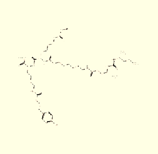 CC(C)(C)OC(=O)NCCCC[C@H](NC(=O)CCCCCCCNC(=O)CC[C@H](NC(=O)N[C@@H](CCC(=O)O)C(=O)O)C(=O)O)C(=O)N[C@@H](CCCCNC(=O)CCCc1ccc(Br)cc1)C(=O)C(=O)O